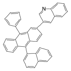 c1ccc(-c2c3ccccc3c(-c3cccc4ccccc34)c3ccc(-c4cnc5ccccc5c4)cc23)cc1